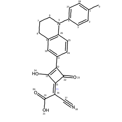 Cc1ccc(N2CCCc3cc(C4=C(O)/C(=C(/C#N)C(=O)O)C4=O)ccc32)cc1